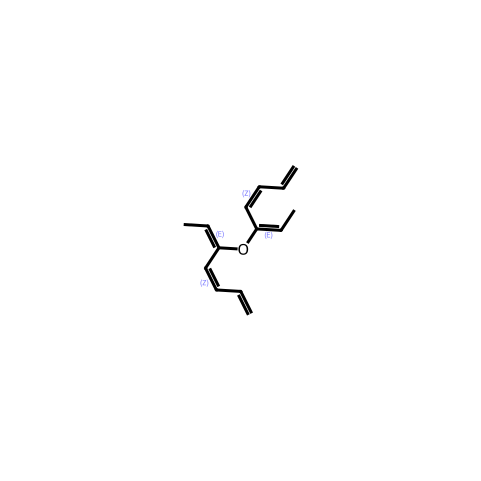 C=C/C=C\C(=C/C)OC(/C=C\C=C)=C/C